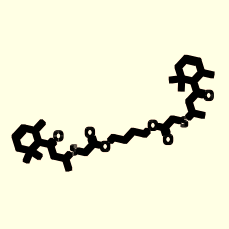 CC(CC(=O)C1C(C)C=CCC1(C)C)SCC(=O)OCCCCOC(=O)CSC(C)CC(=O)C1C(C)C=CCC1(C)C